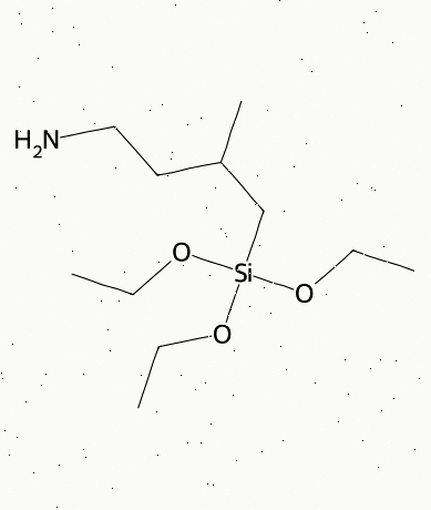 CCO[Si](CC(C)CCN)(OCC)OCC